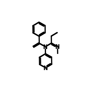 C=C(c1ccccc1)N(/C(CC)=N\C)c1ccncc1